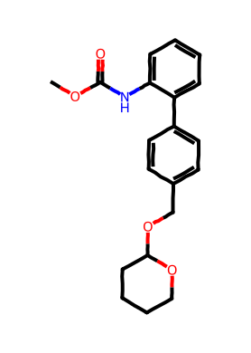 COC(=O)Nc1ccccc1-c1ccc(COC2CCCCO2)cc1